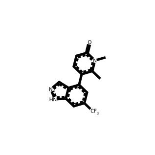 Cc1c(-c2cc(C(F)(F)F)cc3[nH]ncc23)ccc(=O)n1C